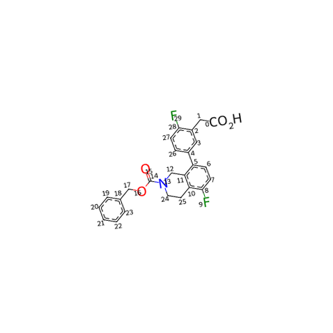 O=C(O)Cc1cc(-c2ccc(F)c3c2CN(C(=O)OCc2ccccc2)CC3)ccc1F